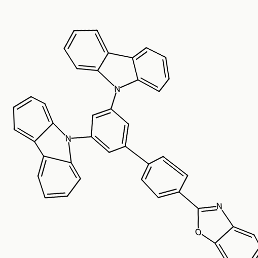 c1ccc2oc(-c3ccc(-c4cc(-n5c6ccccc6c6ccccc65)cc(-n5c6ccccc6c6ccccc65)c4)cc3)nc2c1